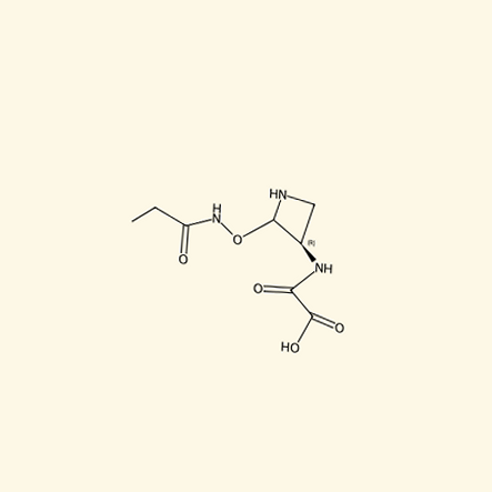 CCC(=O)NOC1NC[C@H]1NC(=O)C(=O)O